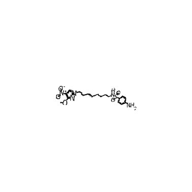 COc1nn(CCCCCCCCNS(=O)(=O)c2ccc(N)cc2)cc1[N+](=O)[O-]